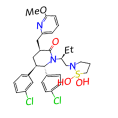 CC[C@@H](CN1CCCS1(O)O)N1C(=O)[C@H](Cc2cccc(OC)n2)C[C@H](c2cccc(Cl)c2)[C@H]1c1ccc(Cl)cc1